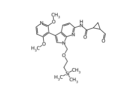 COc1ccnc(OC)c1-c1cn(COCC[Si](C)(C)C)c2nc(NC(=O)C3CC3C=O)ccc12